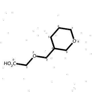 O=C(O)COCC1CCCOC1